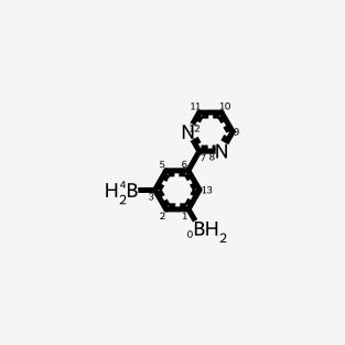 Bc1cc(B)cc(-c2ncccn2)c1